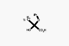 CC(C)OC(C)(O)C(=O)O.[Ti]